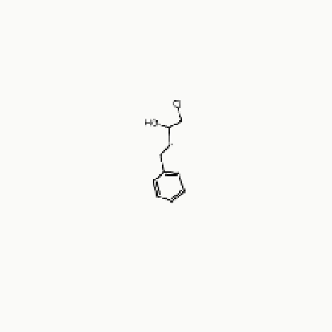 OC([CH]Cc1ccccc1)CCl